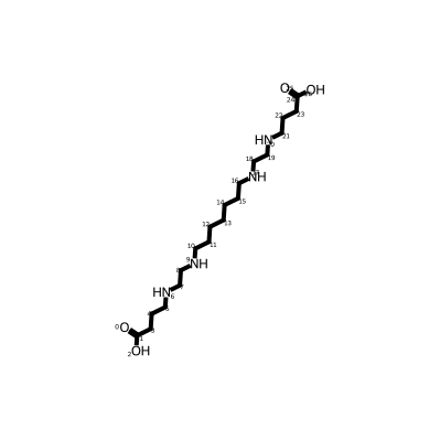 O=C(O)CCCNCCNCCCCCCCNCCNCCCC(=O)O